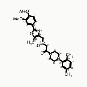 COc1ccc(-c2nc(C[S+]([O-])CC(=O)N3CCN(c4cc(C)ccc4C)CC3)c(C)o2)cc1OC